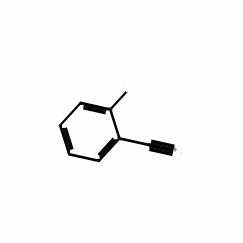 N#Cc1ccccc1[18F]